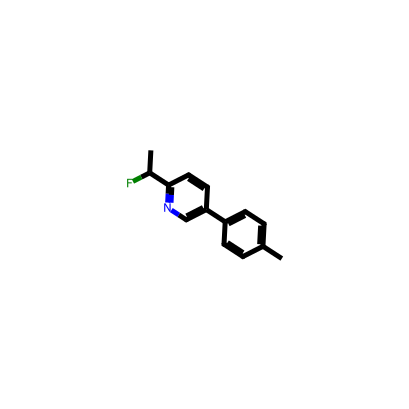 Cc1ccc(-c2ccc(C(C)F)nc2)cc1